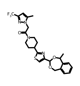 Cc1cc(C(F)(F)F)nn1CC(=O)N1CCC(c2nc(C3OCc4ccccc4C(C)O3)cs2)CC1